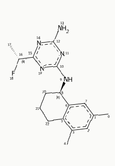 Cc1cc(C)c2c(c1)[C@H](Nc1nc(N)nc([C@@H](C)F)n1)CCC2